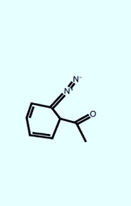 CC(=O)C1C=CC=CC1=[N+]=[N-]